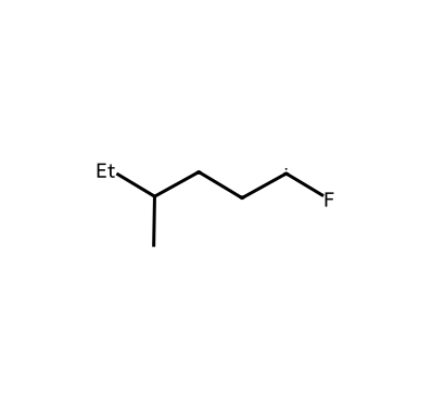 CCC(C)CC[CH]F